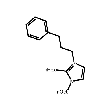 CCCCCCCCn1cc[n+](CCCc2ccccc2)c1CCCCCC